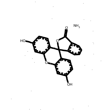 N.O=C1OC2(c3ccc(O)cc3Oc3cc(O)ccc32)c2ccccc21